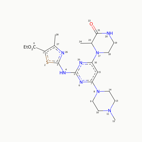 CCOC(=O)c1sc(Nc2nc(N3CCN(C)CC3)cc(N3CCNC(=O)C3C)n2)nc1C